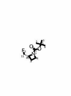 CC(C)(C)OC(=O)N1CC[C@@H]1CF